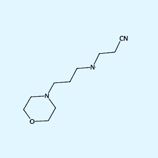 N#CCC[N]CCCN1CCOCC1